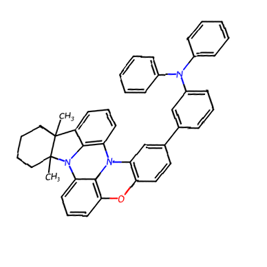 CC12CCCCC1(C)N1c3cccc4c3N(c3cc(-c5cccc(N(c6ccccc6)c6ccccc6)c5)ccc3O4)c3cccc2c31